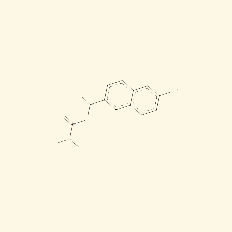 COc1ccc2cc(C(SC(=O)N(C)C)C(=O)O)ccc2c1